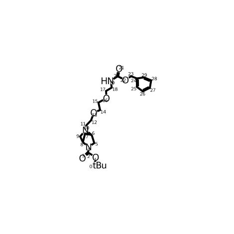 CC(C)(C)OC(=O)N1CC2CC1CN2CCOCCOCCNC(=O)OCc1ccccc1